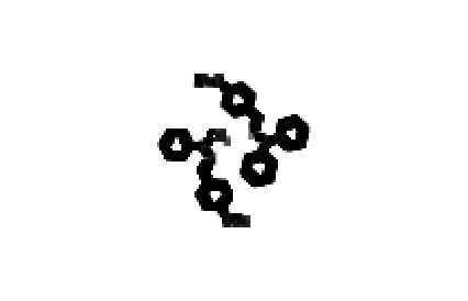 COc1ccc(C=NN(C)c2ccccc2)cc1.COc1ccc(C=NN(c2ccccc2)c2ccccc2)cc1